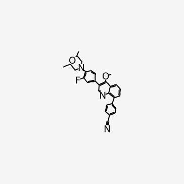 COc1c(-c2ccc(N3CC(C)OC(C)C3)c(F)c2)cnc2c(-c3ccc(C#N)cc3)cccc12